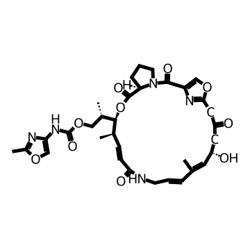 CC1=C\[C@@H](O)CC(=O)Cc2nc(co2)C(=O)N2CCC[C@@H]2C(=O)O[C@H]([C@@H](C)COC(=O)Nc2coc(C)n2)[C@H](C)/C=C/C(=O)NC\C=C\1